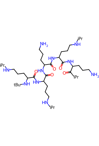 CC(C)NCCCC(NC(=O)C(CCCNC(C)C)NC(C)(C)C)C(=O)NC(CCCN)C(=O)NC(CCCNC(C)C)C(=O)NC(CCCN)C(=O)C(C)C